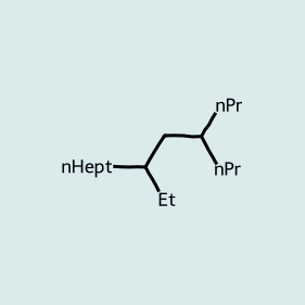 CCCCCCCC(CC)CC(CCC)CCC